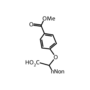 CCCCCCCCCC(Oc1ccc(C(=O)OC)cc1)C(=O)O